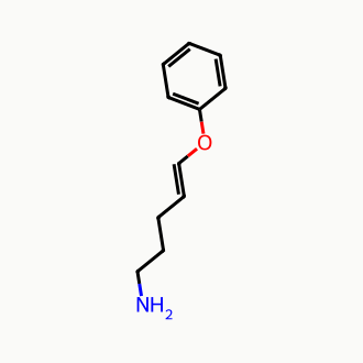 NCCCC=COc1ccccc1